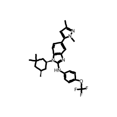 Cc1cc(-c2ccc3c(c2)nc(Nc2ccc(OC(F)(F)F)cc2)n3[C@H]2C[C@@H](C)CC(C)(C)C2)n(C)n1